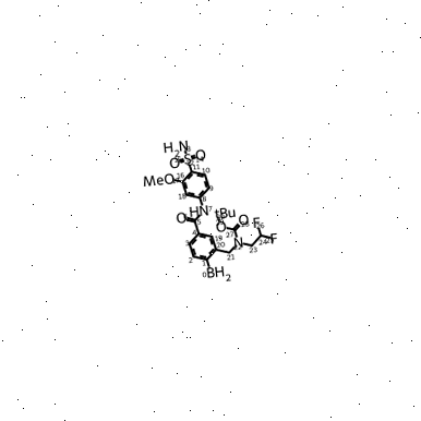 Bc1ccc(C(=O)Nc2ccc(S(N)(=O)=O)c(OC)c2)cc1CN(CC(F)F)C(=O)OC(C)(C)C